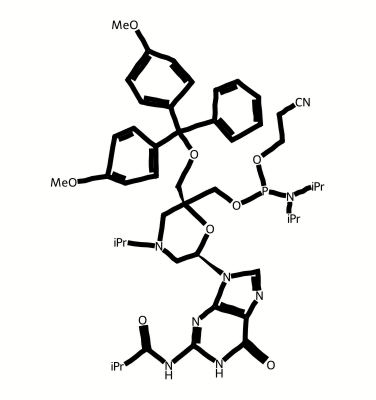 COc1ccc(C(OC[C@]2(COP(OCCC#N)N(C(C)C)C(C)C)CN(C(C)C)C[C@H](n3cnc4c(=O)[nH]c(NC(=O)C(C)C)nc43)O2)(c2ccccc2)c2ccc(OC)cc2)cc1